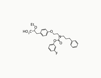 CCOC(Cc1ccc(OCCN(CCCc2ccccc2)C(=O)Oc2cccc(F)c2)cc1)C(=O)O